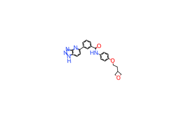 O=C(Nc1ccc(OCCC2COC2)cc1)c1cccc(-c2ccc3[nH]nnc3n2)c1